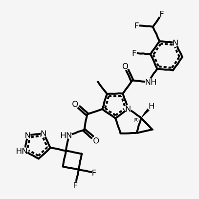 Cc1c(C(=O)C(=O)NC2(c3c[nH]nn3)CC(F)(F)C2)c2n(c1C(=O)Nc1ccnc(C(F)F)c1F)[C@@H]1CC1C2